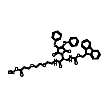 CC(C)(C)OC(=O)CCOCCOCCNC(=O)[C@H](CNC(=O)OCC1c2ccccc2-c2ccccc21)N1C(=O)C(Sc2ccccc2)=C(Sc2ccccc2)C1=O